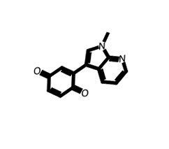 Cn1cc(C2=CC(=O)C=CC2=O)c2cccnc21